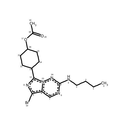 CCCCNc1ncc2c(Br)nc(C3CCC(OC(C)=O)CC3)n2n1